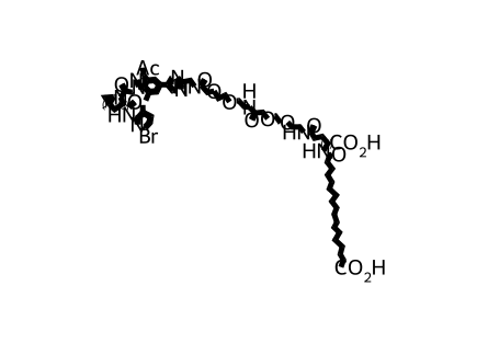 CC(=O)c1nn(CC(=O)N2C3C[C@]3(C)C[C@H]2C(=O)Nc2nc(Br)ccc2C)c2c(C)cc(-c3cnc(CNC(=O)COCCOCCNC(=O)COCCOCCNC(=O)CC[C@H](NC(=O)CCCCCCCCCCCCCCCCC(=O)O)C(=O)O)nc3)cc12